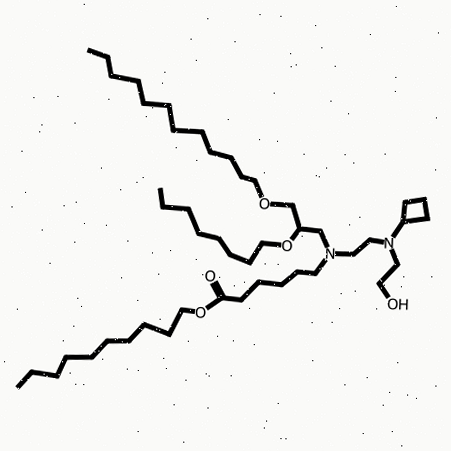 CCCCCCCCCCCCOCC(CN(CCCCCC(=O)OCCCCCCCCCC)CCN(CCO)C1CCC1)OCCCCCCCC